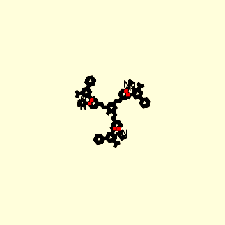 Cc1c(CCc2ccc(-c3nccn3-c3c(C(C)C)cc(-c4ccccc4)cc3C(C)C)cc2)cc(CCc2ccc(-c3nccn3-c3c(C(C)C)cc(-c4ccccc4)cc3C(C)C)cc2)cc1CCc1ccc(-c2nccn2-c2c(C(C)C)cc(-c3ccccc3)cc2C(C)C)cc1